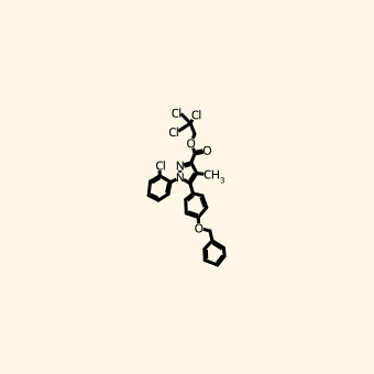 Cc1c(C(=O)OCC(Cl)(Cl)Cl)nn(-c2ccccc2Cl)c1-c1ccc(OCc2ccccc2)cc1